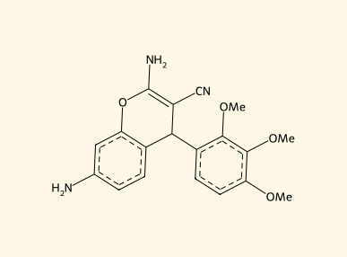 COc1ccc(C2C(C#N)=C(N)Oc3cc(N)ccc32)c(OC)c1OC